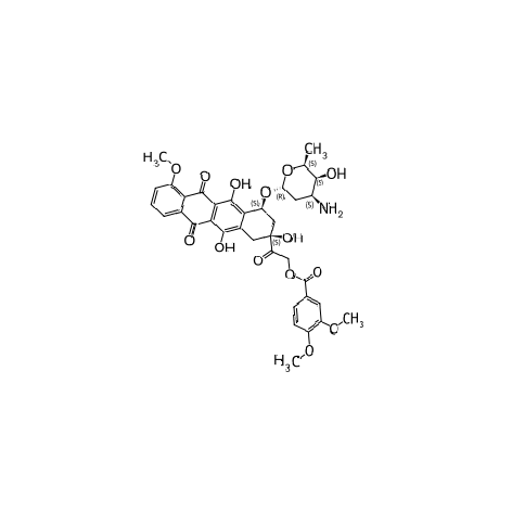 COc1ccc(C(=O)OCC(=O)[C@]2(O)Cc3c(O)c4c(c(O)c3[C@@H](O[C@H]3C[C@H](N)[C@H](O)[C@H](C)O3)C2)C(=O)c2c(OC)cccc2C4=O)cc1OC